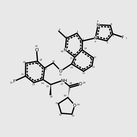 Cc1cc(-n2cc(F)cn2)c2cccc(OCc3c(Cl)cc(F)cc3[C@H](C)NC(=O)[C@H]3CCCO3)c2n1